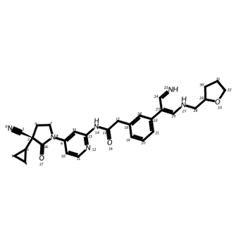 N#C[C@@]1(C2CC2)CCN(c2ccnc(NC(=O)Cc3cccc(/C(C=N)=C/NCC4CCCO4)c3)c2)C1=O